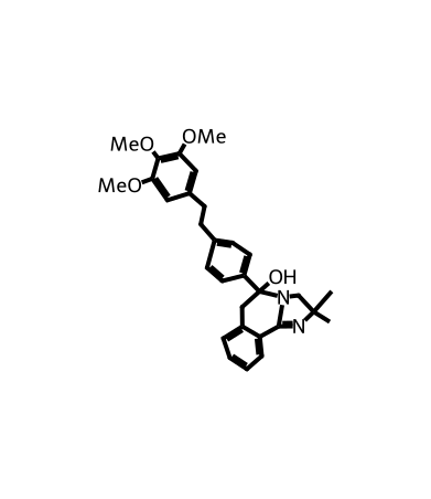 COc1cc(CCc2ccc(C3(O)Cc4ccccc4C4=NC(C)(C)CN43)cc2)cc(OC)c1OC